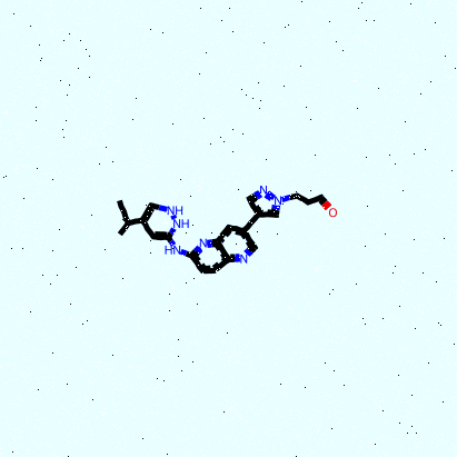 CC(C)C1=CNNC(Nc2ccc3ncc(-c4cnn(CCC=O)c4)cc3n2)=C1